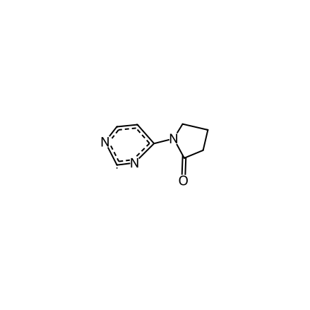 O=C1CCCN1c1ccn[c]n1